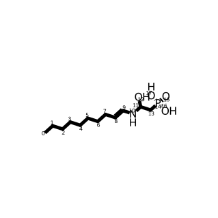 CCCCCCCCC=CNC(O)CP(=O)(O)O